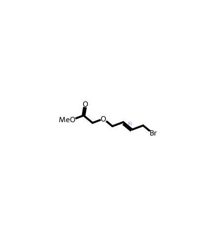 COC(=O)COC/C=C/CBr